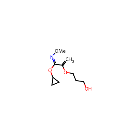 C=C(OCCCO)/C(=N\OC)OC1CC1